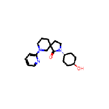 O=C1N([C@H]2CC[C@H](O)CC2)CCC12CCCN(c1ccccn1)C2